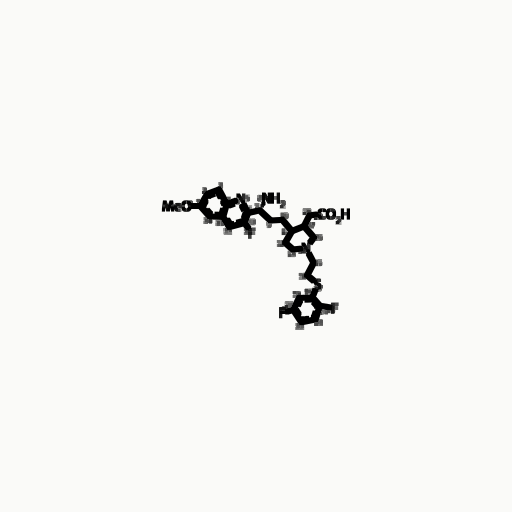 COc1ccc2nc([C@H](N)CCC3CCN(CCSc4cc(F)ccc4F)CC3CC(=O)O)c(F)cc2c1